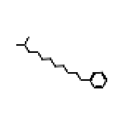 CC(C)CCCCCCCCCc1cc[c]cc1